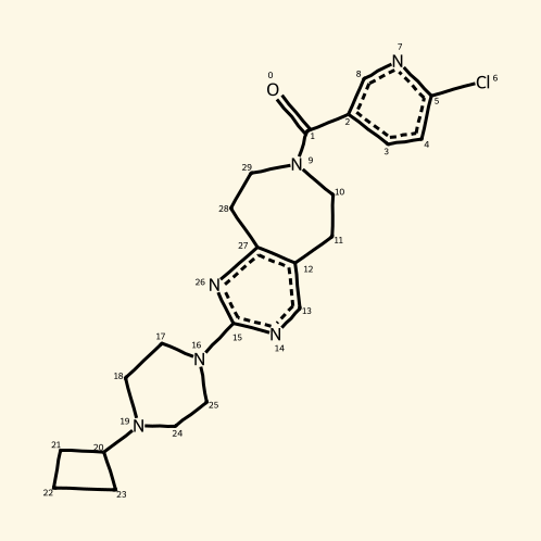 O=C(c1ccc(Cl)nc1)N1CCc2cnc(N3CCN(C4CCC4)CC3)nc2CC1